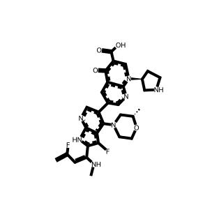 C=C(F)/C=C(/NC)c1[nH]c2ncc(-c3cnc4c(c3)c(=O)c(C(=O)O)cn4[C@H]3CCNC3)c(N3CCO[C@@H](C)C3)c2c1F